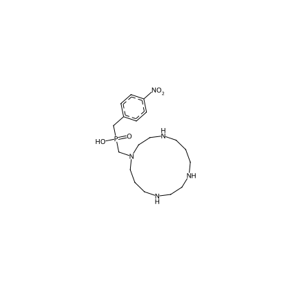 O=[N+]([O-])c1ccc(CP(=O)(O)CN2CCCNCCNCCCNCC2)cc1